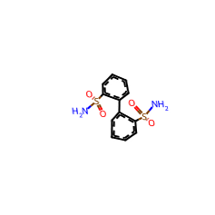 NS(=O)(=O)c1ccccc1-c1ccccc1S(N)(=O)=O